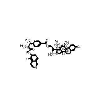 C[C@@H]1C[C@H]2[C@@H]3CCC4=CC(=O)C=C[C@]4(C)[C@@]3(F)[C@@H](O)C[C@]2(C)[C@@]1(O)C(=O)COC(=O)c1ccc([C@H](C)[C@@H](C)C(=O)Nc2ccc3cnccc3c2F)cc1